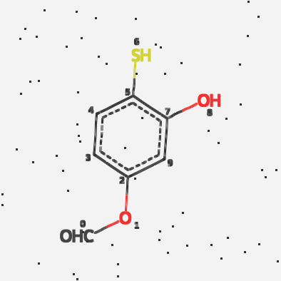 O=COc1ccc(S)c(O)c1